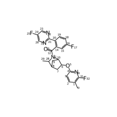 Cc1ccc(OC2CC3CC2N(C(=O)c2cc(F)ccc2-c2ncc(F)cn2)C3C)nc1F